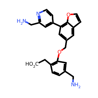 NCc1ccc(CC(=O)O)c(OCc2cc(-c3ccnc(CN)c3)c3occc3c2)c1